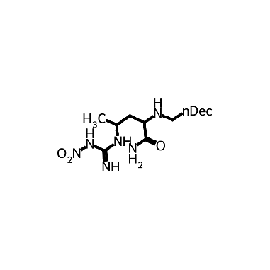 CCCCCCCCCCCNC(CC(C)NC(=N)N[N+](=O)[O-])C(N)=O